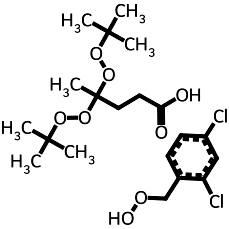 CC(C)(C)OOC(C)(CCC(=O)O)OOC(C)(C)C.OOCc1ccc(Cl)cc1Cl